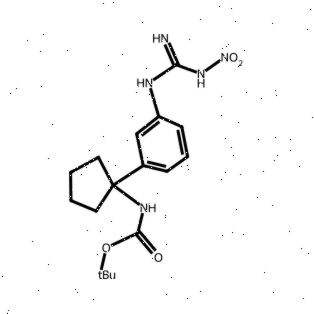 CC(C)(C)OC(=O)NC1(c2cccc(NC(=N)N[N+](=O)[O-])c2)CCCC1